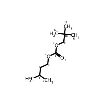 CC(C)CCOC(=O)OCC(C)(C)C